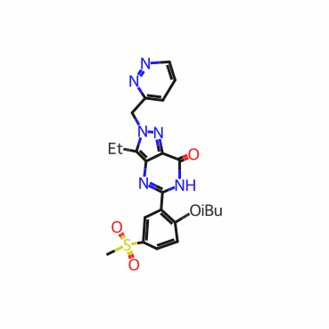 CCc1c2nc(-c3cc(S(C)(=O)=O)ccc3OCC(C)C)[nH]c(=O)c2nn1Cc1cccnn1